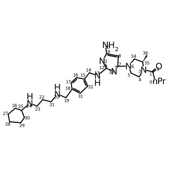 CCCC(=O)N1CCN(c2cc(N)nc(NCc3ccc(CNCCCNC4CCCCC4)cc3)n2)C[C@H]1C